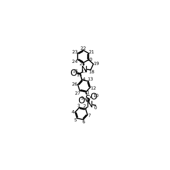 CN(c1ccccc1)S(=O)(=O)c1ccc(C(=O)N2CCc3ccccc32)cc1